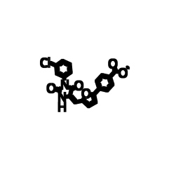 COC(=O)c1ccc(-c2ccc(C=C3NC(=O)N(c4cccc(Cl)c4)C3=O)o2)cc1